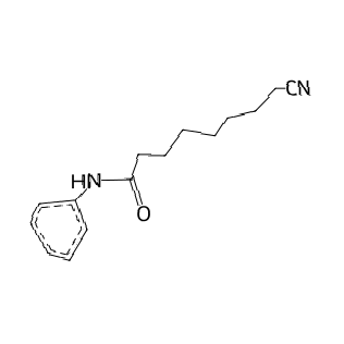 N#CCCCCCCCC(=O)Nc1ccccc1